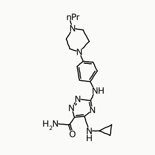 CCCN1CCN(c2ccc(Nc3nnc(C(N)=O)c(NC4CC4)n3)cc2)CC1